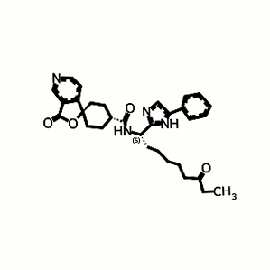 CCC(=O)CCCCC[C@H](NC(=O)[C@H]1CC[C@@]2(CC1)OC(=O)c1cnccc12)c1ncc(-c2ccccc2)[nH]1